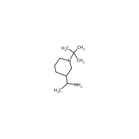 CC(N)C1CCCN(C(C)(C)C)C1